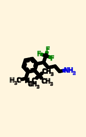 CC(C)c1cccc(C(CCCN)C(F)(F)F)c1C(C)(C)C